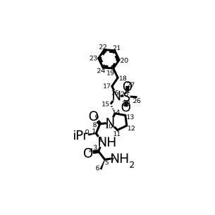 CC(C)[C@H](NC(=O)[C@H](C)N)C(=O)N1CCC[C@H]1CN(CCc1ccccc1)S(C)(=O)=O